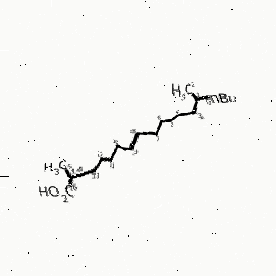 CCCCC(C)CCCCCCCCCCCC(C)C(=O)O